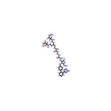 CCCCc1nc(Cl)c(CNC(=O)CCCC(=O)NCCC(CCNC(C)(C)/C(C)=N\O)CCNC(C)(C)/C(C)=N\O)n1Cc1ccc(-c2ccccc2-c2nn[nH]n2)cc1